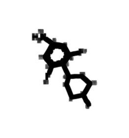 CC1CCC(c2c(F)cc(N)cc2F)CC1